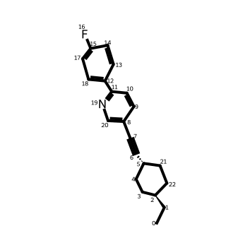 CC[C@H]1CC[C@H](C#Cc2ccc(-c3ccc(F)cc3)nc2)CC1